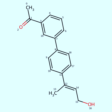 CC(=O)c1cccc(-c2ccc(C(C)=CCO)cc2)c1